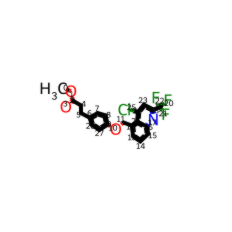 COC(=O)CCc1ccc(OCc2cccc3nc(C(F)(F)F)cc(Cl)c23)cc1